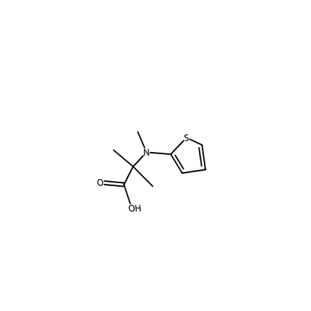 CN(c1cccs1)C(C)(C)C(=O)O